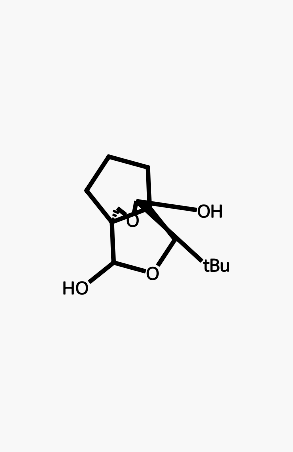 CC(C)(C)C1(O)OC[C@]23CCCC12COC3O